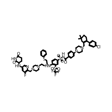 CC1(C)CCC(c2ccc(Cl)cc2)=C(CN2CCN(c3ccc(C(=O)NS(=O)(=O)c4ccc(N[C@H](CCN5CCN(Cc6ncc(NC7CCC(=O)NC7=O)cc6F)CC5)CSc5ccccc5)c(S(=O)(=O)C(F)(F)F)c4)cc3)CC2)C1